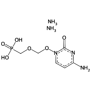 N.N.Nc1ccn(OCOCP(=O)(O)O)c(=O)n1